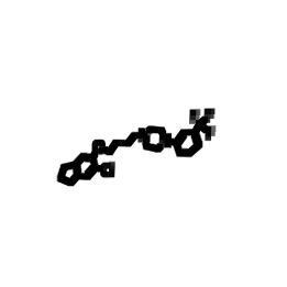 FC(F)(F)c1cccc(N2CCN(CCCCOc3cc4c(cc3Cl)CCC4)CC2)c1